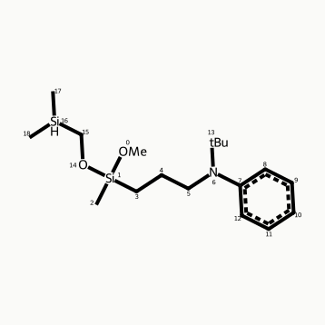 CO[Si](C)(CCCN(c1ccccc1)C(C)(C)C)OC[SiH](C)C